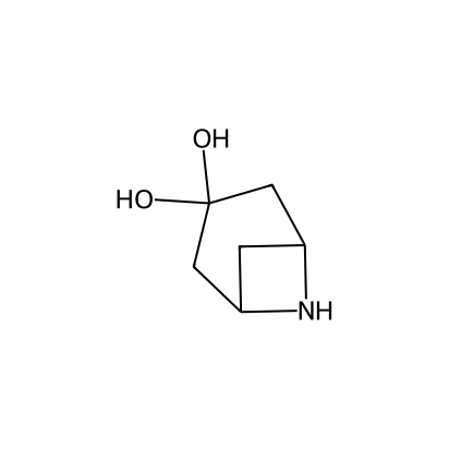 OC1(O)CC2CC(C1)N2